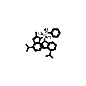 CC1=Cc2c(C(C)C)cccc2[CH]1[Ti]([Cl])([Cl])([CH]1C(C)=Cc2c(C(C)C)cccc21)[SiH](C)c1ccccc1